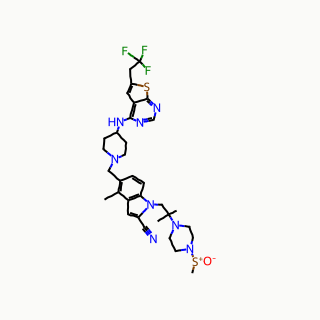 Cc1c(CN2CCC(Nc3ncnc4sc(CC(F)(F)F)cc34)CC2)ccc2c1cc(C#N)n2CC(C)(C)N1CCN([S+](C)[O-])CC1